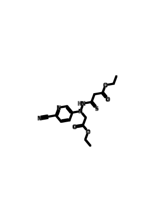 CCOC(=O)CC(=S)NN(CC(=O)OCC)c1ccc(C#N)nc1